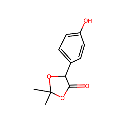 CC1(C)OC(=O)C(c2ccc(O)cc2)O1